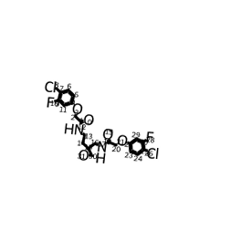 O=C(COc1ccc(Cl)c(F)c1)NCCC1(CNC(=O)COc2ccc(Cl)c(F)c2)CO1